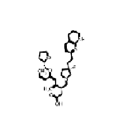 C=C(/C=C(\C=C/C)OC[C@@H]1CCCO1)[C@H](CC(=O)O)CN1CC[C@@](F)(CCc2ccc3c(n2)NCCC3)C1